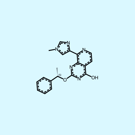 C[C@H](Oc1nc(O)c2ccnc(-c3cn(C)cn3)c2n1)c1ccccc1